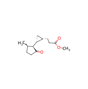 COC(=O)CC[C@H]1C[C@H]1[C@H]1C(=O)CC[C@H]1C